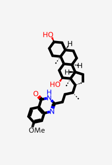 COc1ccc2c(=O)[nH]c(CC[C@@H](C)[C@H]3CC[C@H]4[C@@H]5CC[C@@H]6C[C@H](O)CC[C@]6(C)C5C[C@H](O)[C@]34C)nc2c1